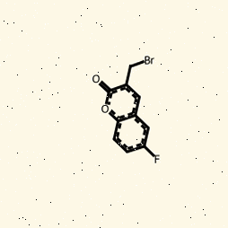 O=c1oc2ccc(F)cc2cc1CBr